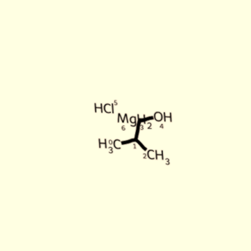 CC(C)CO.Cl.[MgH2]